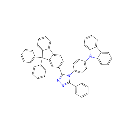 c1ccc(-c2nnc(-c3ccc4c(c3)C(c3ccccc3)(c3ccccc3)c3ccccc3-4)n2-c2ccc(-n3c4ccccc4c4ccccc43)cc2)cc1